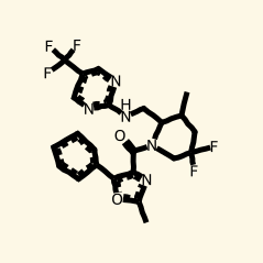 Cc1nc(C(=O)N2CC(F)(F)CC(C)C2CNc2ncc(C(F)(F)F)cn2)c(-c2ccccc2)o1